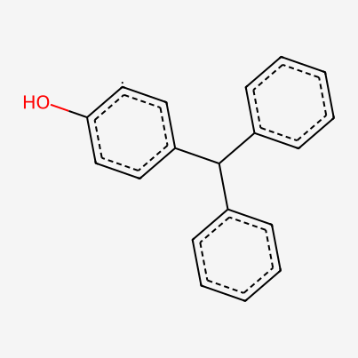 Oc1[c]cc(C(c2ccccc2)c2ccccc2)cc1